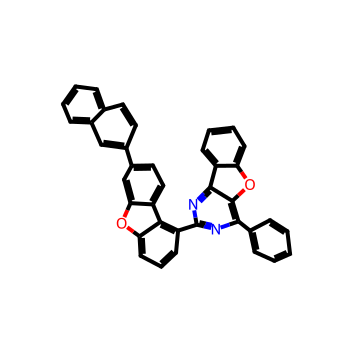 c1ccc(-c2nc(-c3cccc4oc5cc(-c6ccc7ccccc7c6)ccc5c34)nc3c2oc2ccccc23)cc1